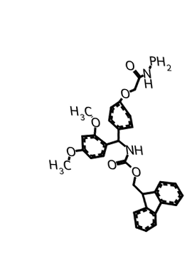 COc1ccc(C(NC(=O)OCC2c3ccccc3-c3ccccc32)c2ccc(OCC(=O)NP)cc2)c(OC)c1